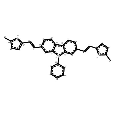 Cc1ccc(/C=C/c2ccc3c4ccc(/C=C/c5ccc(C)s5)cc4n(-c4ccccc4)c3c2)s1